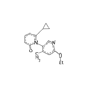 CCOc1cc(C)c(-n2c(C3CC3)cccc2=O)cn1